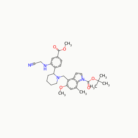 COC(=O)c1ccc(C2CCCCN2Cc2c(OC)cc(C)c3c2ccn3C(=O)OC(C)(C)C)c(NCC#N)c1